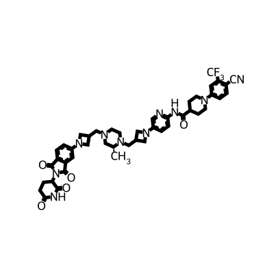 C[C@@H]1CN(CC2CN(c3ccc4c(c3)C(=O)N(C3CCC(=O)NC3=O)C4=O)C2)CCN1CC1CN(c2ccc(NC(=O)C3CCN(c4ccc(C#N)c(C(F)(F)F)c4)CC3)nc2)C1